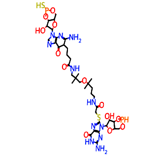 CC(C)(CNC(=O)CCCC1C(=O)c2ncn(C3OC4COP(S)OC4C3O)c2N=C1N)COC(C)(C)CCCNC(=O)CSc1nc2c(=O)[nH]c(N)nc2n1C1OC2COPOC2C1O